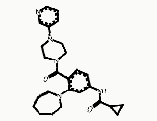 O=C(Nc1ccc(C(=O)N2CCN(c3cccnc3)CC2)c(N2CCCCCC2)c1)C1CC1